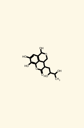 CC(O)C(O)CC1C(=O)Oc2c(O)c(O)cc3c2C1COC3O